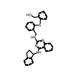 OCc1ccccc1Sc1ccccc1CNc1nc(NC2CCc3ccccc32)c2ccccc2n1